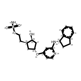 NS(=O)(=O)OCC[C@@H]1C[C@@H](Oc2ccnc(N[C@H]3CCc4ccccc43)c2)C[C@@H]1O